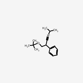 CC(C)[N+]#CC(COC(C)(C)C)c1ccccc1